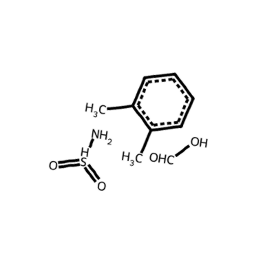 Cc1ccccc1C.N[SH](=O)=O.O=CO